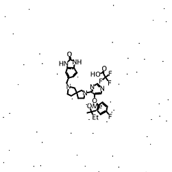 CCC(C)(OC)c1cc(F)ccc1Oc1cncnc1N1CCC2(CCN(Cc3ccc4[nH]c(=O)[nH]c4c3)C2)C1.O=C(O)C(F)(F)F